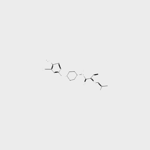 C=C/C(=N\C=C(C)C)C(=O)N[C@H]1CC[C@H](Oc2ccc(C#N)c(Cl)c2)CC1